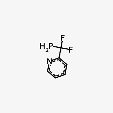 FC(F)(P)c1ccccn1